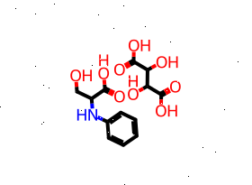 O=C(O)C(CO)Nc1ccccc1.O=C(O)C(O)C(O)C(=O)O